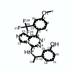 COc1ccc(-c2nnc(NC(C)c3cccc(O)c3)n3cncc23)c(C(F)(F)F)c1